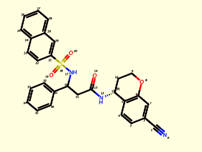 N#Cc1ccc2c(c1)OCC[C@H]2NC(=O)CC(NS(=O)(=O)c1ccc2ccccc2c1)c1ccccc1